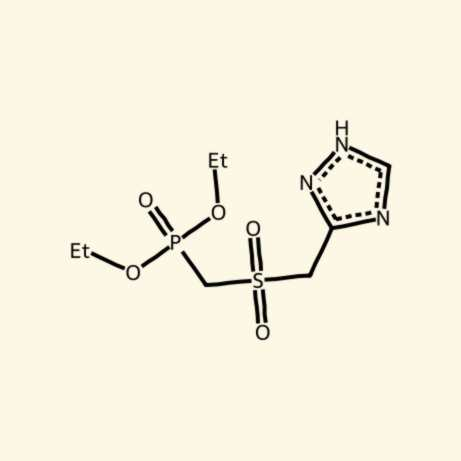 CCOP(=O)(CS(=O)(=O)Cc1nc[nH]n1)OCC